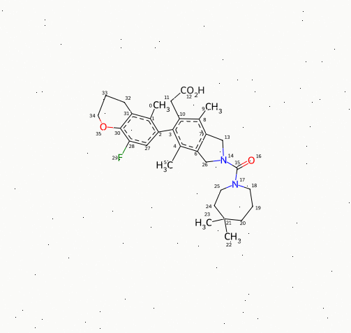 Cc1c(-c2c(C)c3c(c(C)c2CC(=O)O)CN(C(=O)N2CCCC(C)(C)CC2)C3)cc(F)c2c1CCCO2